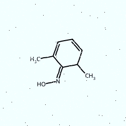 CC1=[C]C=CC(C)C1=NO